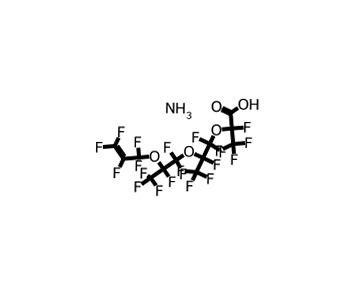 N.O=C(O)C(F)(OC(F)(F)C(F)(OC(F)(F)C(F)(OC(F)(F)C(F)=C(F)F)C(F)(F)F)C(F)(F)F)C(F)(F)F